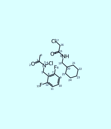 CC(=O)N(Cl)Cc1c(F)cccc1F.O=C(CCl)NCC1CCCCC1